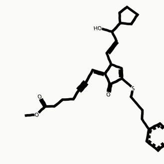 COC(=O)CCCC#C/C=C1\C(=O)C(SCCCc2ccccc2)=CC1/C=C/C(O)C1CCCC1